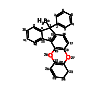 BC1(c2ccccc2)c2ccccc2-c2c1ccc1c2OC2=C(CCC=C2)O1